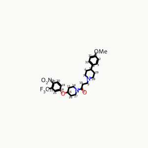 COc1ccc(C2CCN(CCC(=O)N3CCC(Oc4ccc([N+](=O)[O-])c(C(F)(F)F)c4)CC3)CC2)cc1